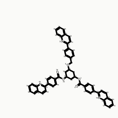 O=C(OC1CC(OCc2ccc(-c3ccc4ccccc4n3)cc2)CC(OC(=O)c2ccc(-c3ccc4ccccc4n3)cc2)C1)c1ccc(-c2ccc3ccccc3n2)cc1